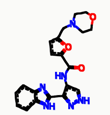 O=C(Nc1c[nH]nc1-c1nc2ccccc2[nH]1)c1ccc(CN2CCOCC2)o1